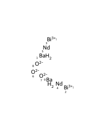 [BaH2].[BaH2].[Bi+3].[Bi+3].[Nd].[Nd].[O-2].[O-2].[O-2]